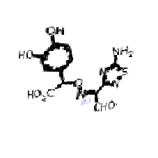 Nc1nc(/C([C]=O)=N\OC(C(=O)O)c2ccc(O)c(O)c2)ns1